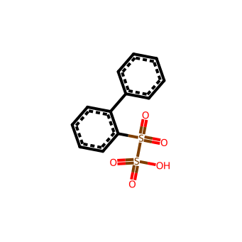 O=S(=O)(O)S(=O)(=O)c1ccccc1-c1ccccc1